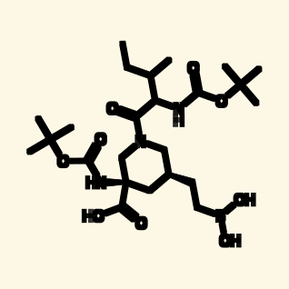 CCC(C)C(NC(=O)OC(C)(C)C)C(=O)N1C[C@@H](CCB(O)O)C[C@](NC(=O)OC(C)(C)C)(C(=O)O)C1